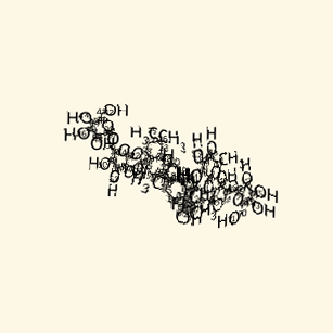 C[C@@H]1O[C@@H](O[C@H]2[C@H](O[C@H]3CC[C@@]4(C)[C@@H](CC[C@]5(C)[C@@H]4CC=C4[C@@H]6CC(C)(C)CC[C@]6(C(=O)O[C@@H]6O[C@H](CO[C@@H]7O[C@H](CO)[C@@H](O)[C@H](O)[C@H]7O)[C@@H](O)[C@H](O)[C@H]6O)CC[C@]45C)[C@]3(C)CO)OC[C@H](O[C@@H]3O[C@H](CO)[C@@H](O)[C@H](O)[C@H]3O)[C@@H]2O)[C@H](O)[C@H](O)[C@H]1O